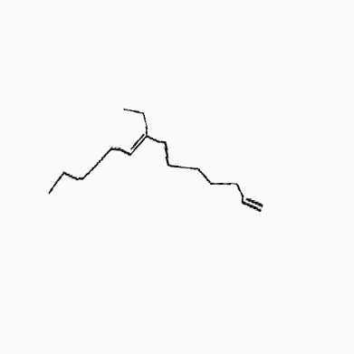 C=CCCCCCC(=CCCCC)CC